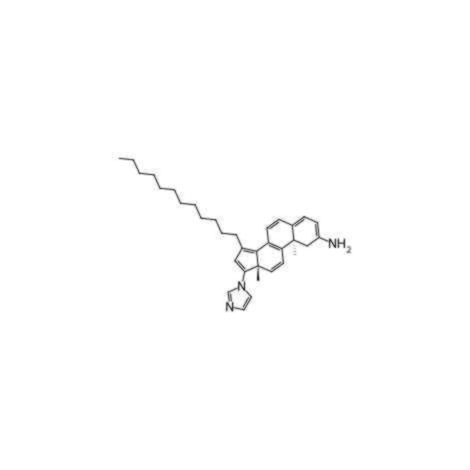 CCCCCCCCCCCCC1=C2C3=C(C=C[C@]2(C)C(n2ccnc2)=C1)[C@]1(C)CC(N)=CC=C1C=C3